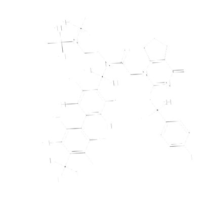 [2H]c1c([2H])c(C([2H])([2H])N(CCN(C([2H])([2H])C)C([2H])([2H])C)C(=O)Cn2c(SC([2H])([2H])c3ccc(F)cc3)nc(=O)c3c2CCC3)c([2H])c([2H])c1-c1c([2H])c([2H])c(C(F)(F)F)c(C)c1[2H]